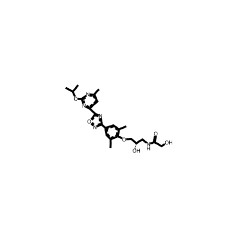 Cc1cc(-c2nc(-c3cc(C)c(OC[C@@H](O)CNC(=O)CO)c(C)c3)no2)nc(OC(C)C)n1